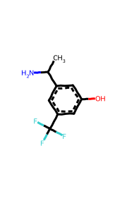 CC(N)c1cc(O)cc(C(F)(F)F)c1